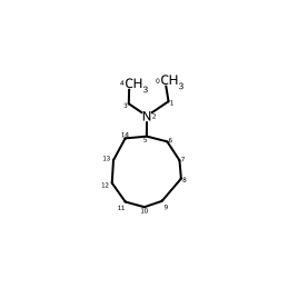 CCN(CC)C1CCCCCCCCC1